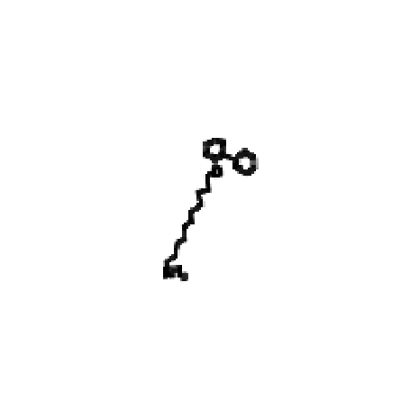 NCCCCCCCCCCCOc1ccccc1-c1ccccc1